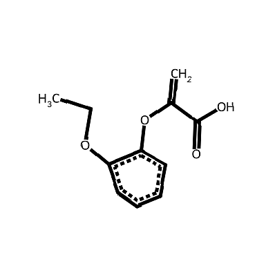 C=C(Oc1ccccc1OCC)C(=O)O